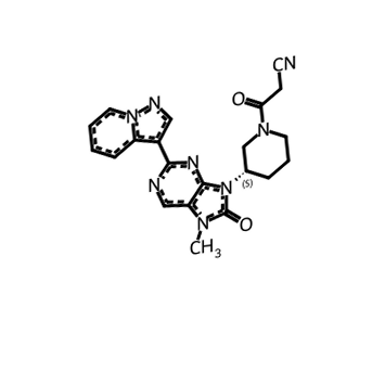 Cn1c(=O)n([C@H]2CCCN(C(=O)CC#N)C2)c2nc(-c3cnn4ccccc34)ncc21